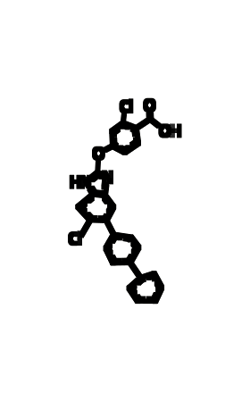 O=C(O)c1ccc(Oc2nc3cc(-c4ccc(-c5ccccc5)cc4)c(Cl)cc3[nH]2)cc1Cl